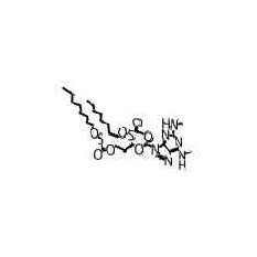 CCCCCCCCOSC(=O)OCCCOC(OC(=O)SOCCCCCCCC)n1cnc2c(NC)nc(NC)nc21